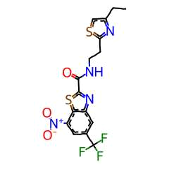 CCc1csc(CCNC(=O)c2nc3cc(C(F)(F)F)cc([N+](=O)[O-])c3s2)n1